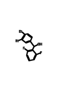 CCc1ccc(C(O)c2c(F)cccc2F)cc1CC